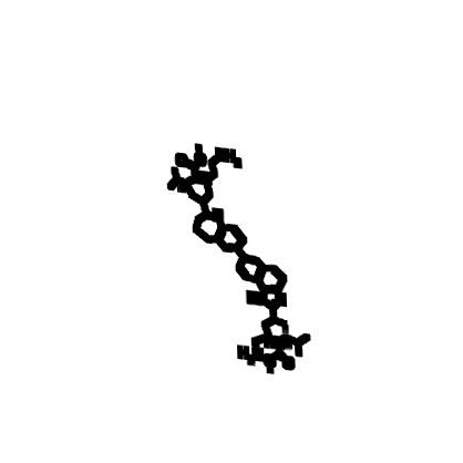 COC(=O)N[C@@H](CC(CCCCN)C1=Nc2ccc(-c3ccc4c(ccc5nc(C(CCCN)C[C@@H](NC(=O)OC)C(C)C)[nH]c54)c3)cc2CCC1)C(C)C